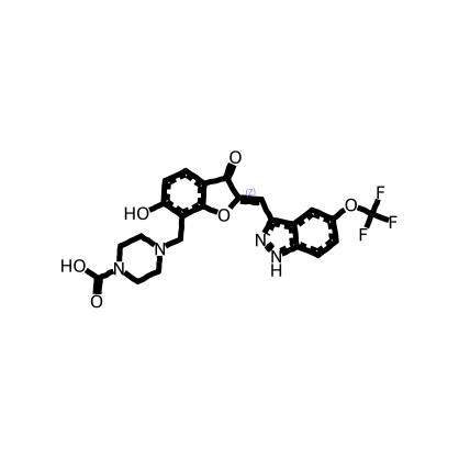 O=C1/C(=C/c2n[nH]c3ccc(OC(F)(F)F)cc23)Oc2c1ccc(O)c2CN1CCN(C(=O)O)CC1